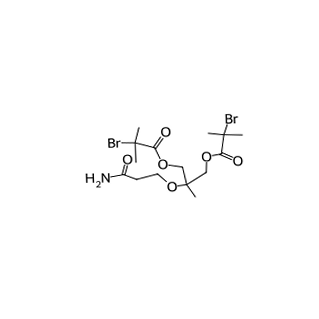 CC(COC(=O)C(C)(C)Br)(COC(=O)C(C)(C)Br)OCCC(N)=O